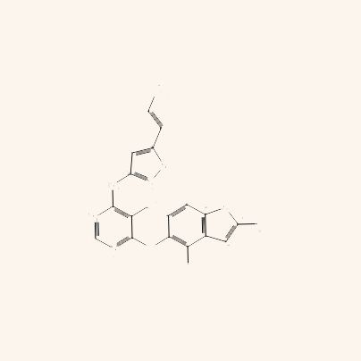 C/C=C/c1cc(Nc2ncnc(Oc3ccc4[nH]c(C)cc4c3F)c2F)n[nH]1